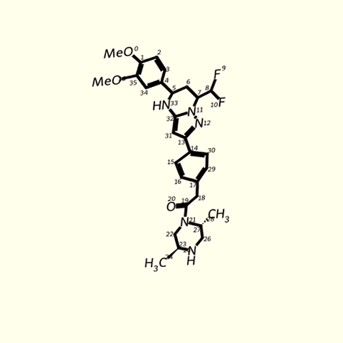 COc1ccc(C2CC(C(F)F)n3nc(-c4ccc(CC(=O)N5C[C@H](C)NC[C@H]5C)cc4)cc3N2)cc1OC